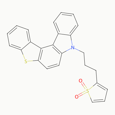 O=S1(=O)C=CC=C1CCCn1c2ccccc2c2c3c(ccc21)sc1ccccc13